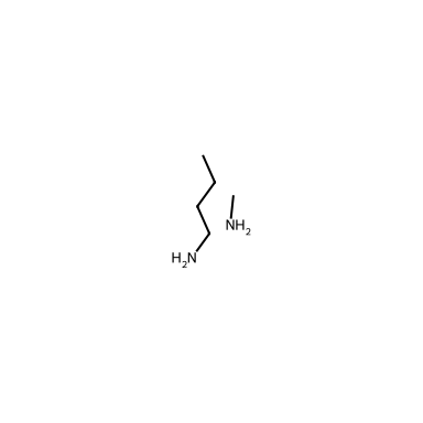 CCCCN.CN